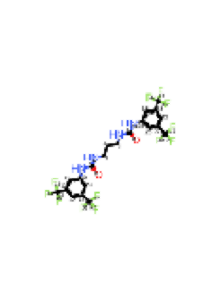 O=C(NCCCNC(=O)Nc1cc(C(F)(F)F)cc(C(F)(F)F)c1)Nc1cc(C(F)(F)F)cc(C(F)(F)F)c1